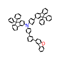 c1ccc(C2(c3ccccc3)c3ccccc3-c3cc(N(c4ccc(-c5cccc(-c6ccc7oc8ccccc8c7c6)c5)cc4)c4ccc(-c5ccc6c(c5)C(c5ccccc5)(c5ccccc5)c5ccccc5-6)cc4)ccc32)cc1